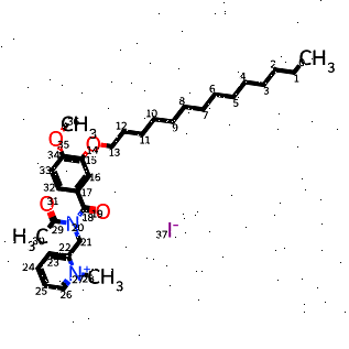 CCCCCCCCCCCCCCOc1cc(C(=O)N(Cc2cccc[n+]2C)C(C)=O)ccc1OC.[I-]